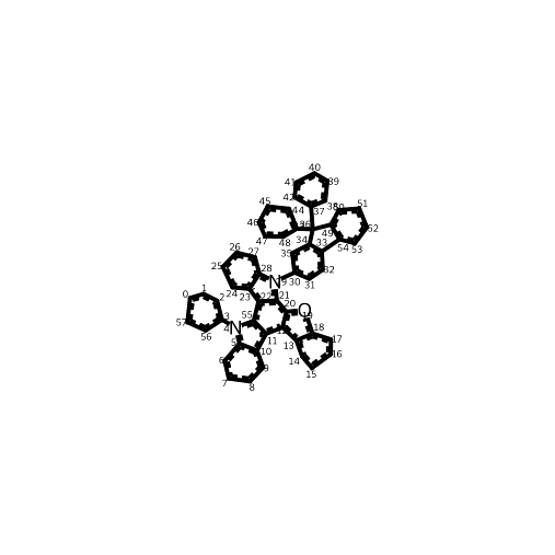 c1ccc(-n2c3ccccc3c3c4c5ccccc5oc4c4c(c5ccccc5n4-c4ccc5c(c4)C(c4ccccc4)(c4ccccc4)c4ccccc4-5)c32)cc1